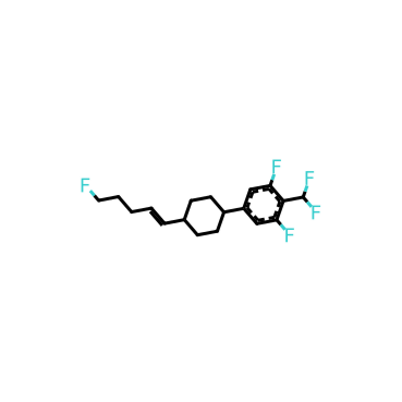 FCCC/C=C/C1CCC(c2cc(F)c(C(F)F)c(F)c2)CC1